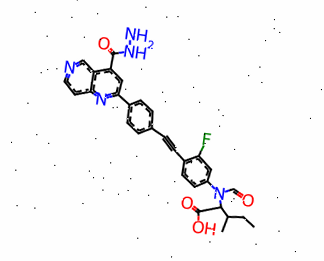 CCC(C)C(C(=O)O)N(C=O)c1ccc(C#Cc2ccc(-c3cc(C(=O)NN)c4cnccc4n3)cc2)c(F)c1